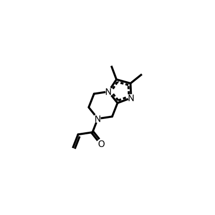 C=CC(=O)N1CCn2c(nc(C)c2C)C1